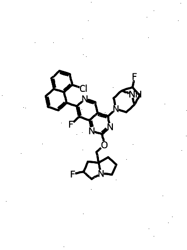 Fc1c(-c2cccc3cccc(Cl)c23)ncc2c(N3CC4CC(F)C(C3)N4)nc(OCC34CCCN3CC(F)C4)nc12